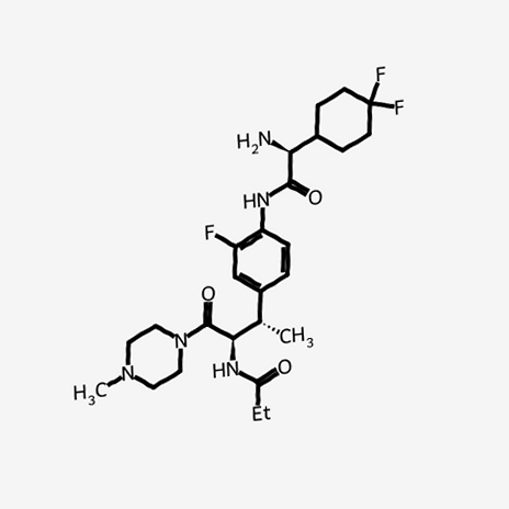 CCC(=O)N[C@@H](C(=O)N1CCN(C)CC1)[C@@H](C)c1ccc(NC(=O)[C@@H](N)C2CCC(F)(F)CC2)c(F)c1